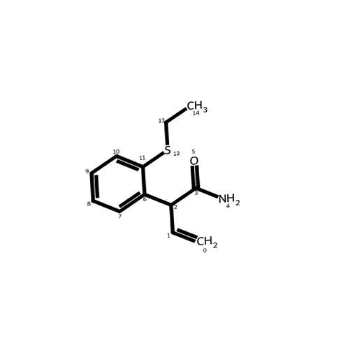 C=CC(C(N)=O)c1ccccc1SCC